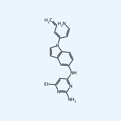 C=C/C=C(\C=C/N)n1ccc2cc(Nc3cc(CC)nc(N)n3)ccc21